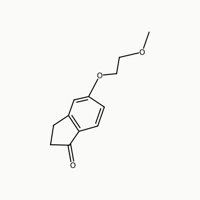 COCCOc1ccc2c(c1)CCC2=O